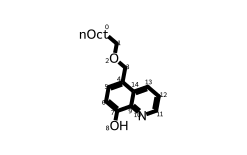 CCCCCCCCCOCc1ccc(O)c2ncccc12